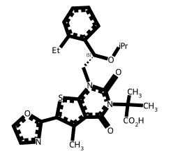 CCc1ccccc1[C@@H](Cn1c(=O)n(C(C)(C)C(=O)O)c(=O)c2c(C)c(-c3ncco3)sc21)OC(C)C